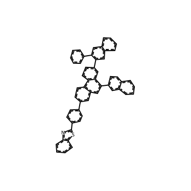 c1ccc(-c2cc3ccccc3cc2-c2ccc3c(c2)c(-c2ccc4ccccc4c2)cc2cc(-c4ccc(-c5nc6ccccc6s5)cc4)ccc23)cc1